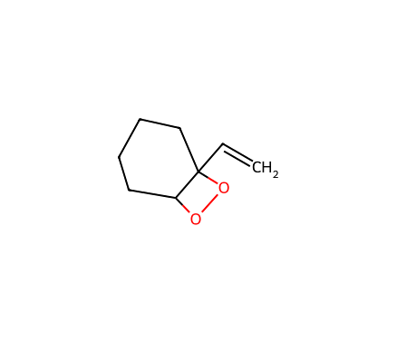 C=CC12CCCCC1OO2